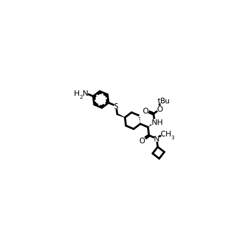 CN(C(=O)[C@@H](NC(=O)OC(C)(C)C)[C@H]1CC[C@H](CSc2ccc(N)cc2)CC1)C1CCC1